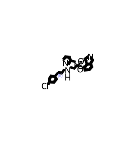 O=S(=O)(c1cccc2cnccc12)N(CCNC/C=C/c1ccc(Cl)cc1)Cc1cccnc1